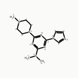 CN1CCN(c2nc(N(C)C)nc(-n3ccnc3)n2)CC1